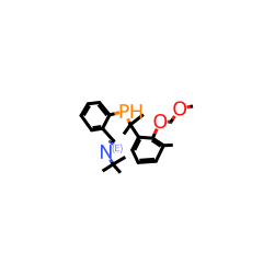 COCOc1c(C)cccc1C(C)(C)Pc1ccccc1/C=N/C(C)(C)C